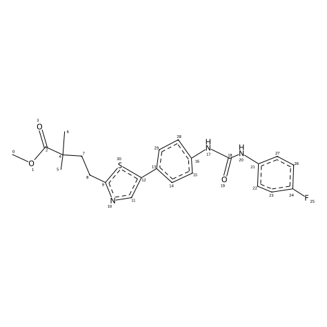 COC(=O)C(C)(C)CCc1ncc(-c2ccc(NC(=O)Nc3ccc(F)cc3)cc2)s1